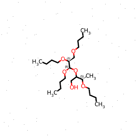 CCCCOC[C@H](OCCCC)[C@H](OCCCC)OC(CO)[C@H](C)OCCCC